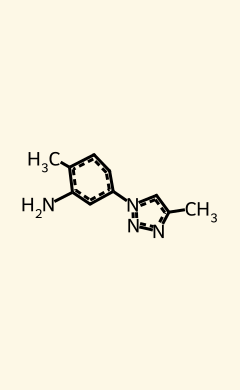 Cc1cn(-c2ccc(C)c(N)c2)nn1